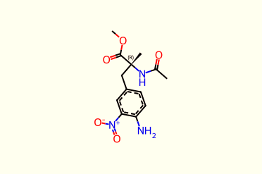 COC(=O)[C@@](C)(Cc1ccc(N)c([N+](=O)[O-])c1)NC(C)=O